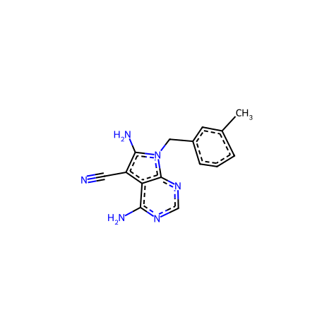 Cc1cccc(Cn2c(N)c(C#N)c3c(N)ncnc32)c1